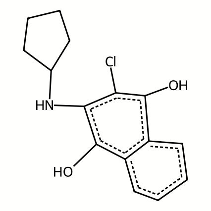 Oc1c(Cl)c(NC2CCCC2)c(O)c2ccccc12